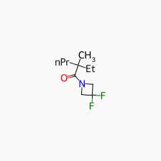 CCCC(C)(CC)C(=O)N1CC(F)(F)C1